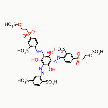 O=S(=O)(O)OCCS(=O)(=O)c1ccc(/N=N/c2c(O)c(/N=N/c3cc(S(=O)(=O)O)ccc3S(=O)(=O)O)c(O)c(/N=N/c3ccc(S(=O)(=O)CCOS(=O)(=O)O)cc3S(=O)(=O)O)c2O)c(S(=O)(=O)O)c1